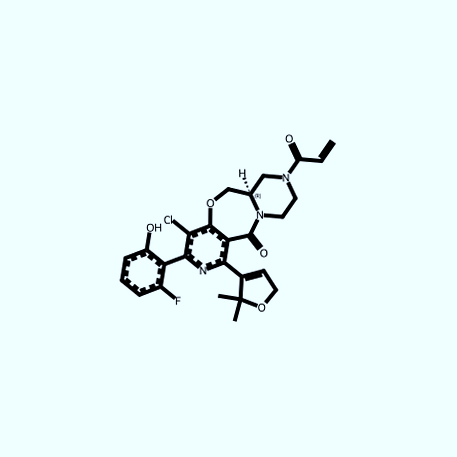 C=CC(=O)N1CCN2C(=O)c3c(C4=CCOC4(C)C)nc(-c4c(O)cccc4F)c(Cl)c3OC[C@H]2C1